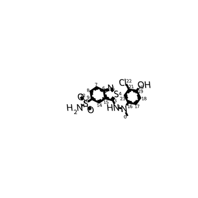 CN(Nc1snc2ccc(S(N)(=O)=O)cc12)c1ccc(O)c(Cl)c1